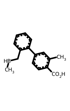 CBCc1ccccc1-c1ccc(C(=O)O)c(C)c1